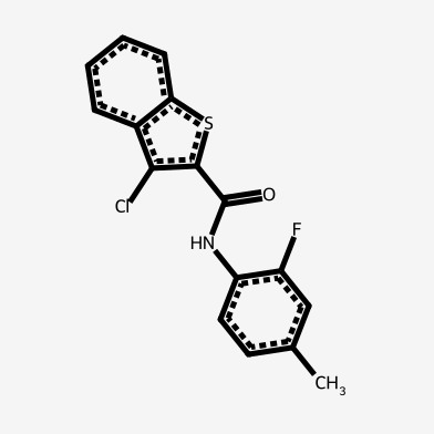 Cc1ccc(NC(=O)c2sc3ccccc3c2Cl)c(F)c1